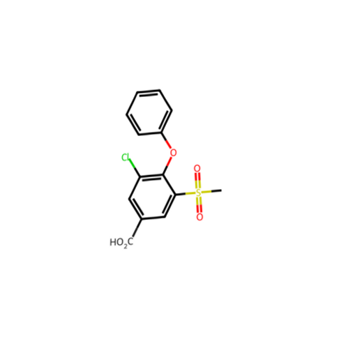 CS(=O)(=O)c1cc(C(=O)O)cc(Cl)c1Oc1ccccc1